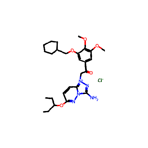 CCC(CC)Oc1ccc2n(n1)c(N)n[n+]2CC(=O)c1cc(OC)c(OC)c(OCC2CCCCC2)c1.[Cl-]